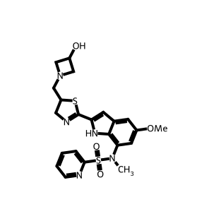 COc1cc(N(C)S(=O)(=O)c2ccccn2)c2[nH]c(C3=NCC(CN4CC(O)C4)S3)cc2c1